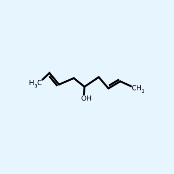 CC=CCC(O)CC=CC